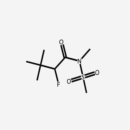 CN(C(=O)C(F)C(C)(C)C)S(C)(=O)=O